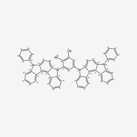 N#Cc1cc(-n2c3ccccc3c3c4c5ccccc5n(-c5ccccc5)c4ccc32)cc(-n2c3ccccc3c3c4c5ccccc5n(-c5ccccc5)c4ccc32)c1C#N